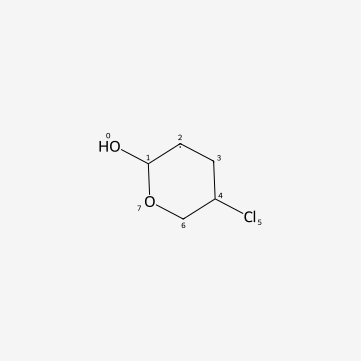 OC1[CH]CC(Cl)CO1